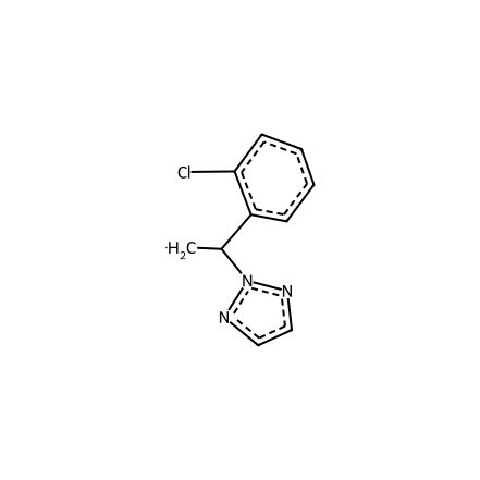 [CH2]C(c1ccccc1Cl)n1nccn1